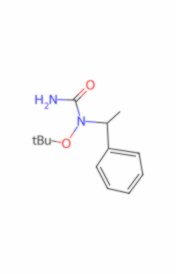 CC(c1ccccc1)N(OC(C)(C)C)C(N)=O